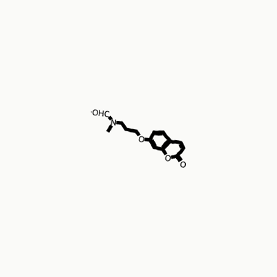 CN([C]=O)CCCOc1ccc2ccc(=O)oc2c1